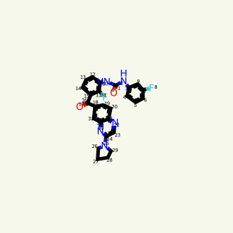 O=C(Nc1cccc(F)c1)Nc1cccc(C(=O)c2ccc3ncc(N4CCCC4)nc3c2)c1F